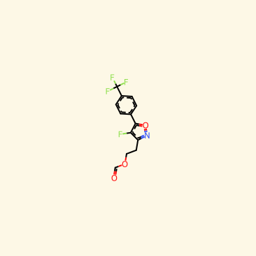 O=COCCc1noc(-c2ccc(C(F)(F)F)cc2)c1F